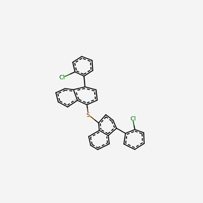 Clc1ccccc1-c1ccc(Sc2ccc(-c3ccccc3Cl)c3ccccc23)c2ccccc12